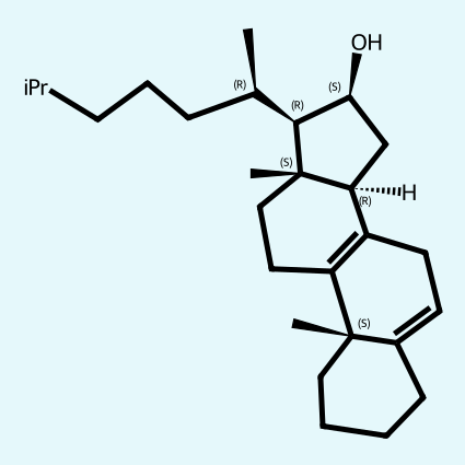 CC(C)CCC[C@@H](C)[C@H]1[C@@H](O)C[C@H]2C3=C(CC[C@]12C)[C@@]1(C)CCCCC1=CC3